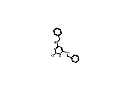 ClN1N=C(NCc2ccccc2)C=C(NCc2ccccc2)N1